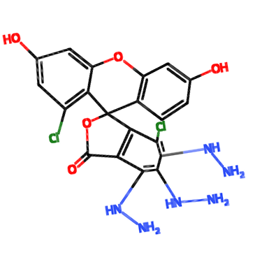 NNc1c(Cl)c2c(c(NN)c1NN)C(=O)OC21c2ccc(O)cc2Oc2cc(O)cc(Cl)c21